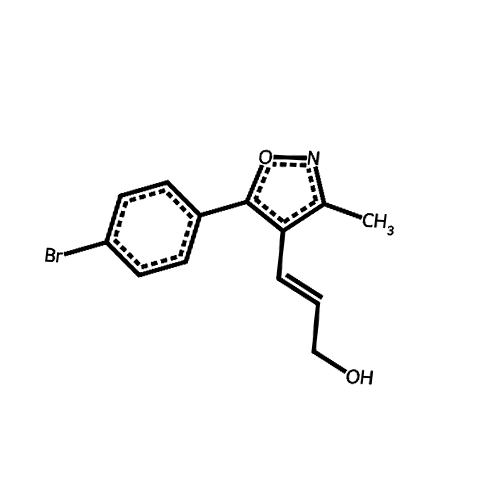 Cc1noc(-c2ccc(Br)cc2)c1C=CCO